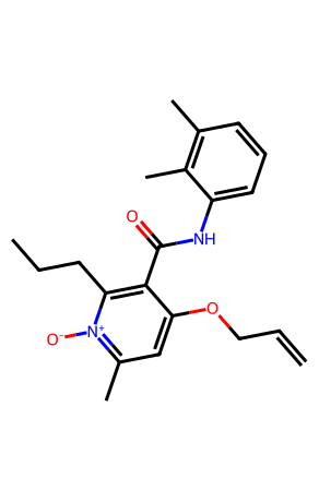 C=CCOc1cc(C)[n+]([O-])c(CCC)c1C(=O)Nc1cccc(C)c1C